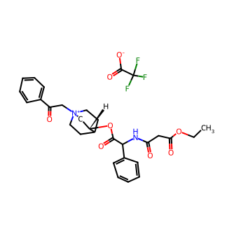 CCOC(=O)CC(=O)NC(C(=O)O[C@H]1C[N+]2(CC(=O)c3ccccc3)CCC1CC2)c1ccccc1.O=C([O-])C(F)(F)F